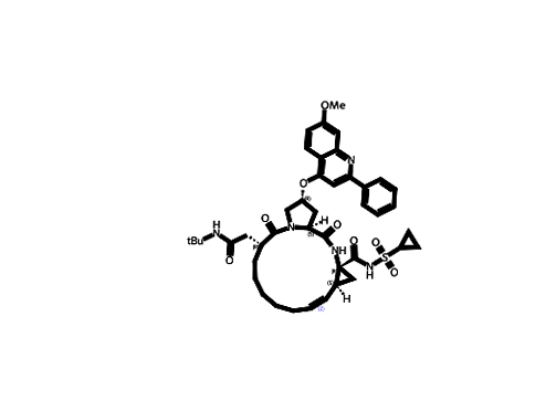 COc1ccc2c(O[C@@H]3C[C@H]4C(=O)N[C@]5(C(=O)NS(=O)(=O)C6CC6)C[C@H]5/C=C\CCCCC[C@H](CC(=O)NC(C)(C)C)C(=O)N4C3)cc(-c3ccccc3)nc2c1